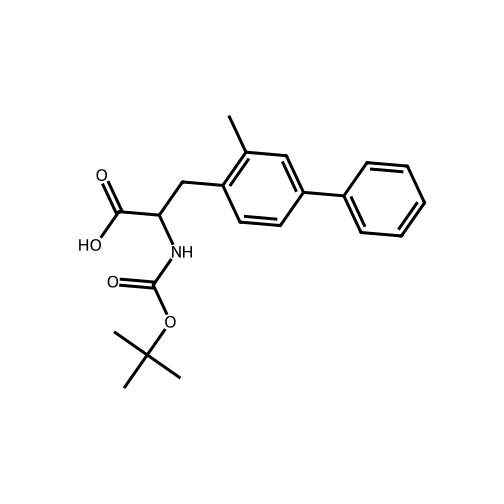 Cc1cc(-c2ccccc2)ccc1CC(NC(=O)OC(C)(C)C)C(=O)O